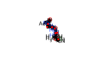 CC(=O)N1CCc2c(c(-c3cccc4cc(-c5cnc(C(=O)NCc6ncc(C(=O)NC7C(C)(C)C(Oc8ccc(C#N)c(Cl)c8)C7(C)C)cn6)nc5)ncc34)nn2C2CCOCC2)C1